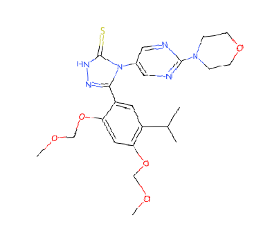 COCOc1cc(OCOC)c(C(C)C)cc1-c1n[nH]c(=S)n1-c1cnc(N2CCOCC2)nc1